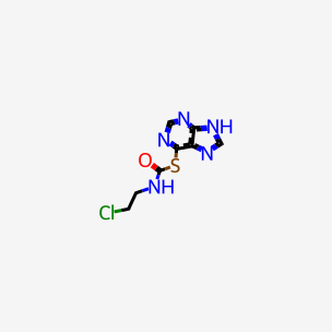 O=C(NCCCl)Sc1ncnc2[nH]cnc12